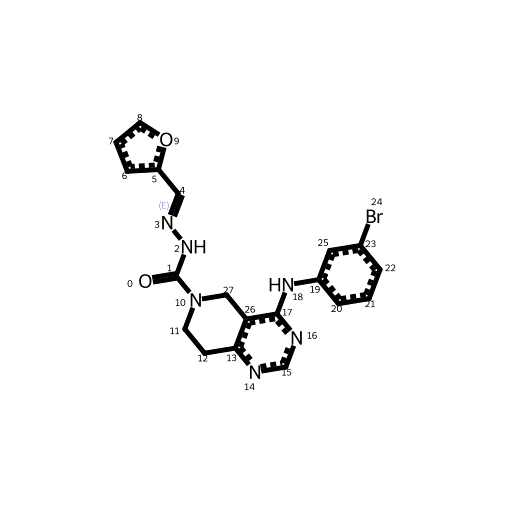 O=C(N/N=C/c1ccco1)N1CCc2ncnc(Nc3cccc(Br)c3)c2C1